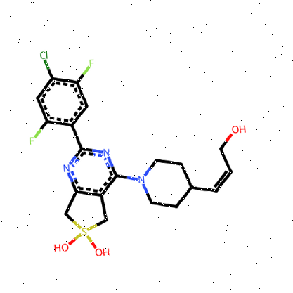 OC/C=C\C1CCN(c2nc(-c3cc(F)c(Cl)cc3F)nc3c2CS(O)(O)C3)CC1